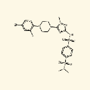 CN(C)S(=O)(=O)c1ccc(S(=O)(=O)Nc2nc(N3CCN(c4ccc(Cl)cc4F)CC3)n(C)n2)cc1